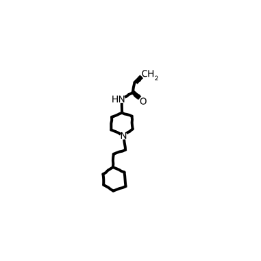 C=CC(=O)NC1CCN(CCC2CCCCC2)CC1